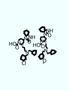 COc1cccc(CN(CCC[C@H]2CC(n3c(=O)[nH]c4ccccc43)CCN2C(=O)O)Cc2ccccc2)c1.O=C(O)N1CCC(n2c(=O)[nH]c3ccccc32)C[C@@H]1CCCN(Cc1ccccc1)Cc1cccc(Cl)c1